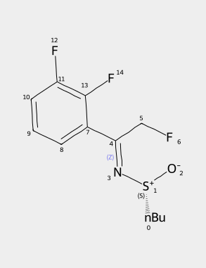 CCCC[S@@+]([O-])/N=C(\CF)c1cccc(F)c1F